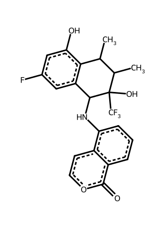 CC1c2c(O)cc(F)cc2C(Nc2cccc3c(=O)occc23)C(O)(C(F)(F)F)C1C